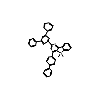 C[Si]1(C)c2ccccc2-c2nc(-c3cc(-c4ccccc4)cc(-c4ccccc4)c3)nc(-c3ccc(-c4ccccc4)cc3)c21